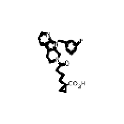 O=C(CCCC1(C(=O)O)CC1)N1CCc2c(n(Cc3cccc(F)c3)c3ncccc23)C1